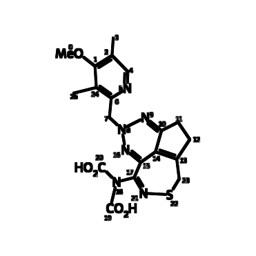 COc1c(C)cnc(CN2N=C3CCC4=C3C(=N2)C(N(C(=O)O)C(=O)O)=NSC4)c1C